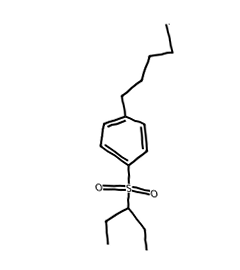 [CH2]CCCCc1ccc(S(=O)(=O)C(CC)CC)cc1